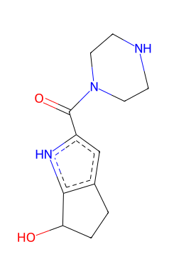 O=C(c1cc2c([nH]1)C(O)CC2)N1CCNCC1